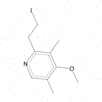 COc1c(C)cnc(CCI)c1C